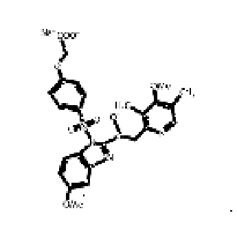 COc1ccc2c(c1)nc([S+]([O-])Cc1ncc(C)c(OC)c1C)n2S(=O)(=O)c1ccc(OCC(=O)[O-])cc1.[Na+]